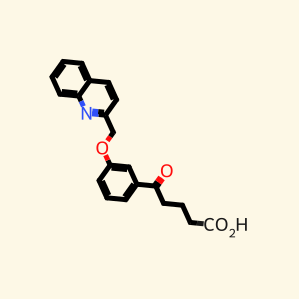 O=C(O)CCCC(=O)c1cccc(OCc2ccc3ccccc3n2)c1